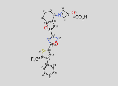 O=C(O)OC1CN(C2CCCc3oc(-c4noc(-c5cc(-c6ccccc6)c(C(F)(F)F)s5)n4)cc32)C1